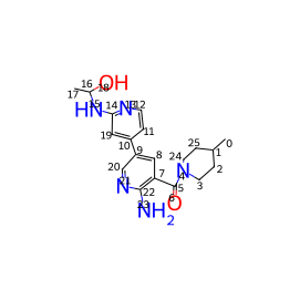 CC1CCN(C(=O)c2cc(-c3ccnc(NC(C)O)c3)cnc2N)CC1